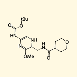 COC1=NC(NC(=O)OC(C)(C)C)=CNC1CNC(=O)C1CCOCC1